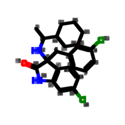 CC(NC1(Cc2cccc(Cl)c2)C(=O)Nc2cc(Cl)ccc21)C1CCCCC1